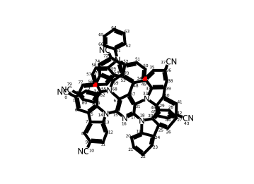 N#Cc1ccc2c(c1)c1cc(C#N)ccc1n2-c1nc(-n2c3ccccc3c3ccccc32)c(-n2c3ccc(C#N)cc3c3cc(C#N)ccc32)c(-c2cccc3c2c2ccccc2n3-c2ccccc2)c1-n1c2ccc(C#N)cc2c2cc(C#N)ccc21